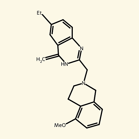 C=C1NC(CN2CCc3c(cccc3OC)C2)=Nc2ccc(CC)cc21